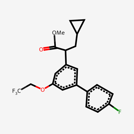 COC(=O)C(CC1CC1)c1cc(OCC(F)(F)F)cc(-c2ccc(F)cc2)c1